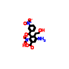 Nc1cc(C(=O)O)c([N+](=O)[O-])c(C(=O)c2cccc([N+](=O)[O-])c2)c1CCO